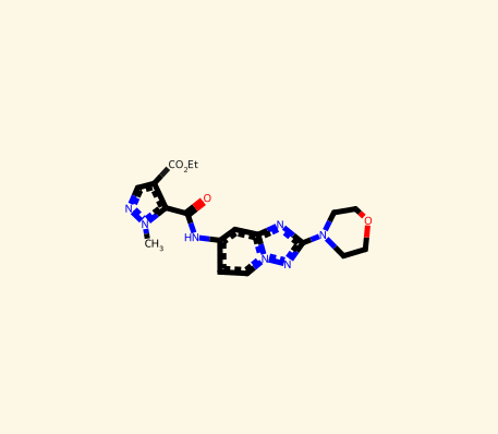 CCOC(=O)c1cnn(C)c1C(=O)Nc1ccn2nc(N3CCOCC3)nc2c1